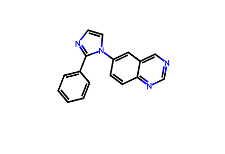 c1ccc(-c2nccn2-c2ccc3ncncc3c2)cc1